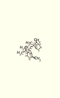 C=C1C2CCC(C2)C1(C)C.C=C1CCC2(C(C)C)CC12